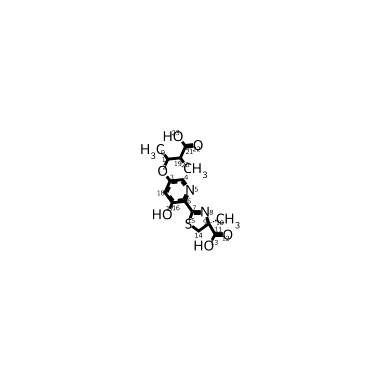 CC(Oc1cnc(C2=N[C@@](C)(C(=O)O)CS2)c(O)c1)C(C)C(=O)O